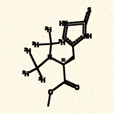 [2H]C([2H])([2H])N([C@@H](Cc1c[nH]c(=S)[nH]1)C(=O)OC)C([2H])([2H])[2H]